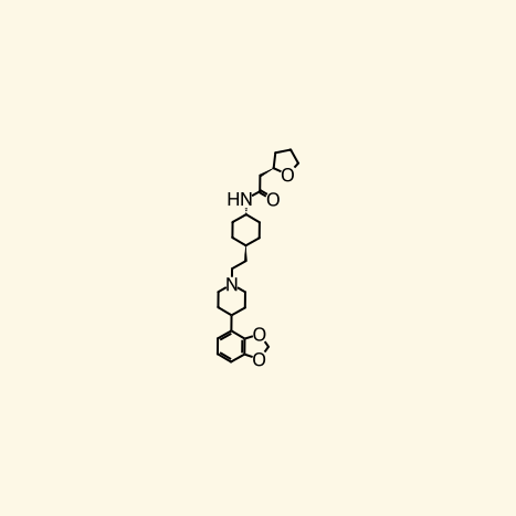 O=C(C[C@H]1CCCO1)N[C@H]1CC[C@H](CCN2CCC(c3cccc4c3OCO4)CC2)CC1